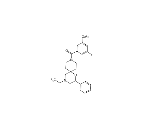 COc1cc(F)cc(C(=O)N2CCC3(CC2)CN(CC(F)(F)F)CC(c2ccccc2)O3)c1